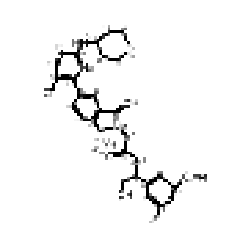 COc1cc(F)cc(C(CO)NC(=O)CN2C(=O)c3cc(-c4nc(NC5CCOCC5)ncc4Cl)ccc3[C@H]2OC)c1